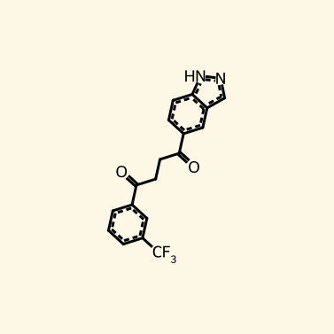 O=C(CCC(=O)c1ccc2[nH]ncc2c1)c1cccc(C(F)(F)F)c1